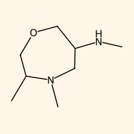 CNC1COCC(C)N(C)C1